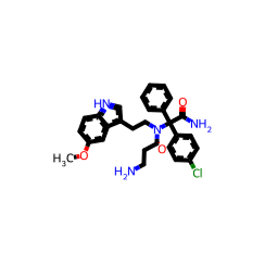 COc1ccc2[nH]cc(CCN(C(=O)CCN)C(C(N)=O)(c3ccccc3)c3ccc(Cl)cc3)c2c1